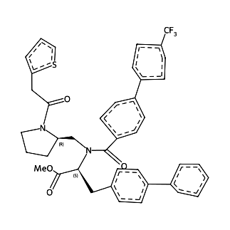 COC(=O)[C@H](Cc1ccc(-c2ccccc2)cc1)N(C[C@H]1CCCN1C(=O)Cc1cccs1)C(=O)c1ccc(-c2ccc(C(F)(F)F)cc2)cc1